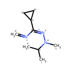 C=N/C(=N\N(C)C(C)C)C1CC1